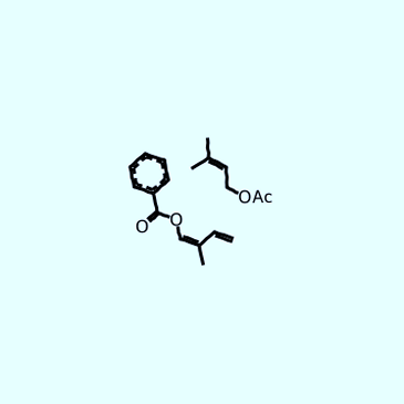 C=CC(C)=COC(=O)c1ccccc1.CC(=O)OCC=C(C)C